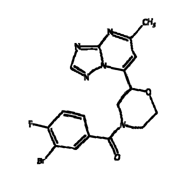 Cc1cc(C2CN(C(=O)c3ccc(F)c(Br)c3)CCO2)n2ncnc2n1